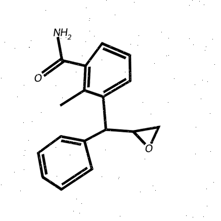 Cc1c(C(N)=O)cccc1C(c1ccccc1)C1CO1